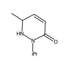 CC1C=CC(=O)N(C(C)C)N1